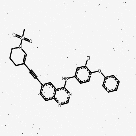 CS(=O)(=O)N1C=C(C#Cc2ccc3ncnc(Nc4ccc(Oc5ccccc5)c(Cl)c4)c3c2)CCC1